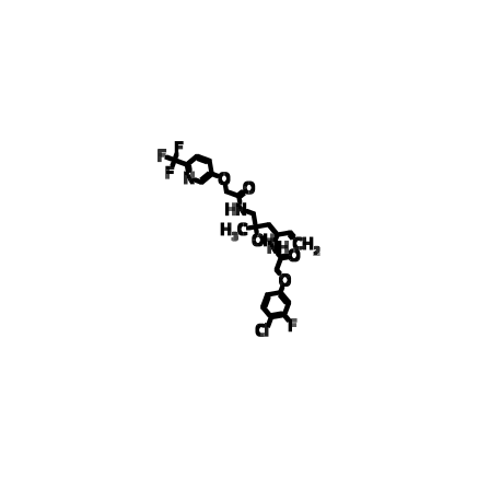 C=CC(CC(C)(O)CNC(=O)COc1ccc(C(F)(F)F)nc1)NC(=O)COc1ccc(Cl)c(F)c1